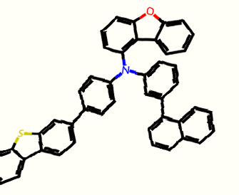 c1cc(-c2cccc3ccccc23)cc(N(c2ccc(-c3ccc4c(c3)sc3ccccc34)cc2)c2cccc3oc4ccccc4c23)c1